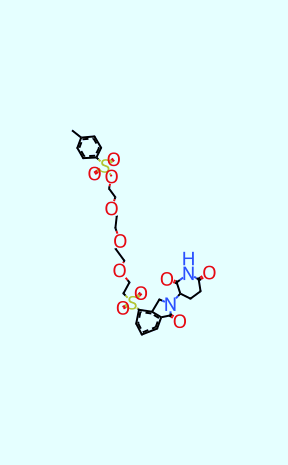 Cc1ccc(S(=O)(=O)OCCOCCOCCOCCS(=O)(=O)c2cccc3c2CN(C2CCC(=O)NC2=O)C3=O)cc1